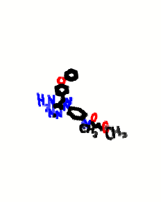 COC/C=C/C(=O)N(C)[C@H]1CC[C@@H](n2nc(-c3ccc(Oc4ccccc4)cc3)c3c(N)ncnc32)CC1